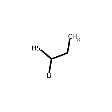 [Li][CH](S)CC